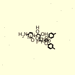 Cc1ccc(OP(=O)(OC[C@@]2(C(F)F)O[C@@H](n3ccc(N)nc3=O)[C@H](O)[C@H]2O)Oc2ccc(C)cc2)cc1